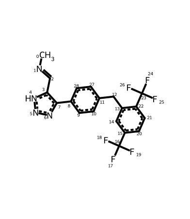 C/N=C/c1[nH]nnc1-c1ccc(Cc2cc(C(F)(F)F)ccc2C(F)(F)F)cc1